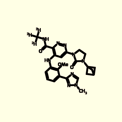 [2H]C([2H])([2H])NC(=O)c1nnc(N2CCN(C34CC(C3)C4)C2=O)cc1Nc1cccc(-c2ncn(C)n2)c1OC